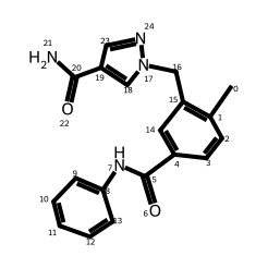 Cc1ccc(C(=O)Nc2ccccc2)cc1Cn1cc(C(N)=O)cn1